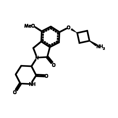 COc1cc(O[C@H]2C[C@H](N)C2)cc2c1CN(C1CCC(=O)NC1=O)C2=O